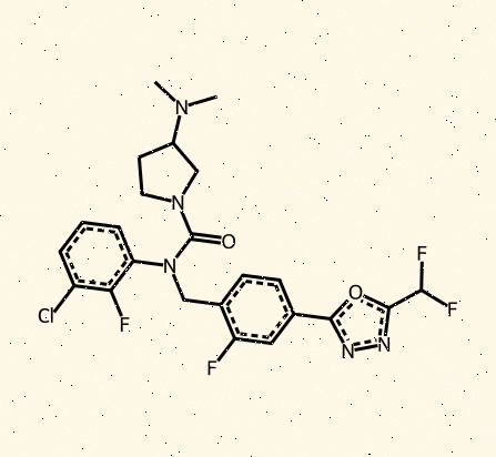 CN(C)C1CCN(C(=O)N(Cc2ccc(-c3nnc(C(F)F)o3)cc2F)c2cccc(Cl)c2F)C1